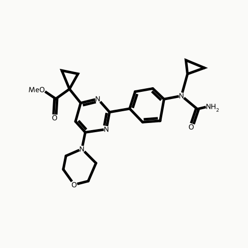 COC(=O)C1(c2cc(N3CCOCC3)nc(-c3ccc(N(C(N)=O)C4CC4)cc3)n2)CC1